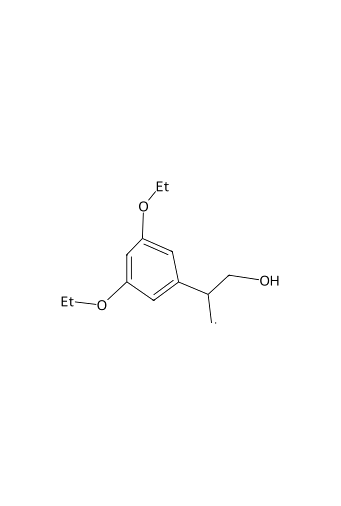 [CH2]C(CO)c1cc(OCC)cc(OCC)c1